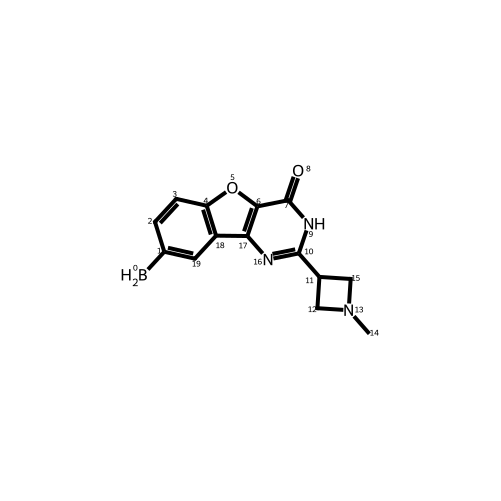 Bc1ccc2oc3c(=O)[nH]c(C4CN(C)C4)nc3c2c1